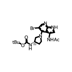 CC(=O)Nc1c[nH]c2ncc(Br)c(N3CC[C@H](NC(=O)OC(C)(C)C)C3)c12